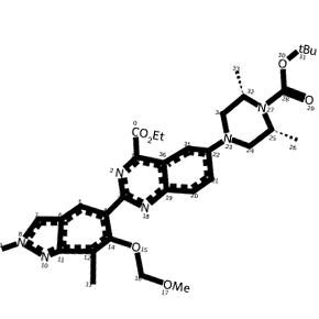 CCOC(=O)c1nc(-c2cc3cn(C)nc3c(C)c2OCOC)nc2ccc(N3C[C@@H](C)N(C(=O)OC(C)(C)C)[C@@H](C)C3)cc12